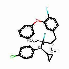 CC(=O)O[C@@H](Cc1ccc(F)c(Oc2ccccc2)c1)[C@@](F)(C(=O)O)[C@H](c1ccc(Cl)cc1)C1CC1